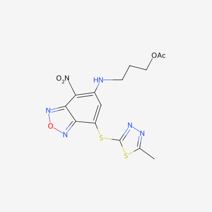 CC(=O)OCCCNc1cc(Sc2nnc(C)s2)c2nonc2c1[N+](=O)[O-]